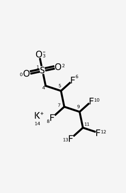 O=S(=O)([O-])CC(F)C(F)C(F)C(F)F.[K+]